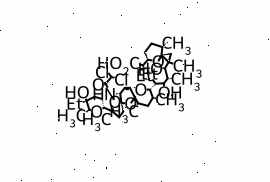 CCC(C(O)[C@@H](C)[C@@H](O)C1(C)C[C@]12O[C@@H]([C@@H](CC)C(=O)O)CC[C@@H]2C)[C@H]1O[C@]2(C=C[C@@H](NC(=O)C(Cl)Cl)[C@]3(CC[C@@](C)([C@H]4CC[C@](O)(CC)[C@H](C)O4)O3)O2)[C@H](C)C[C@@H]1C